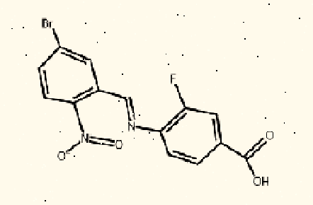 O=C(O)c1ccc(N=Cc2cc(Br)ccc2[N+](=O)[O-])c(F)c1